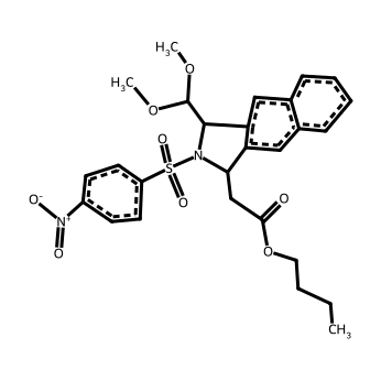 CCCCOC(=O)CC1c2cc3ccccc3cc2C(C(OC)OC)N1S(=O)(=O)c1ccc([N+](=O)[O-])cc1